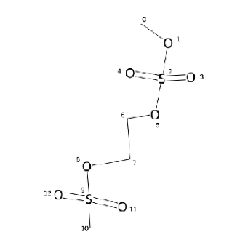 COS(=O)(=O)OCCOS(C)(=O)=O